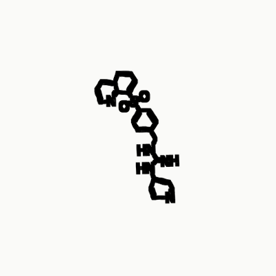 N=C(NCc1ccc(S(=O)(=O)c2cccc3cccnc23)cc1)Nc1ccncc1